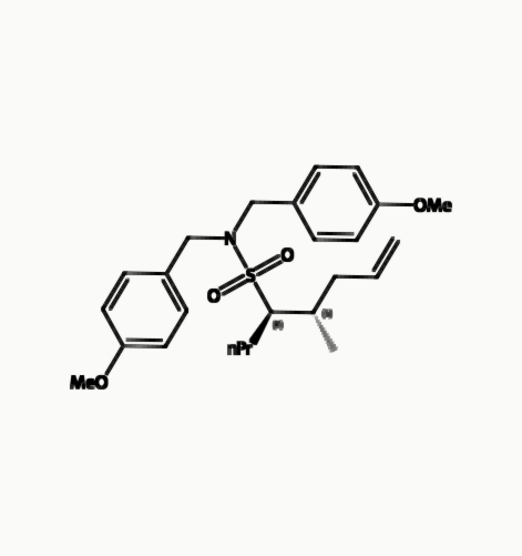 C=CC[C@H](C)[C@@H](CCC)S(=O)(=O)N(Cc1ccc(OC)cc1)Cc1ccc(OC)cc1